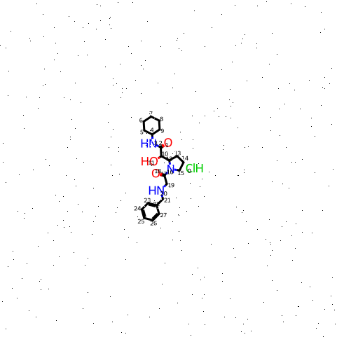 Cl.O=C(NC1CCCCC1)C(O)C1CCCN1C(=O)CNCc1ccccc1